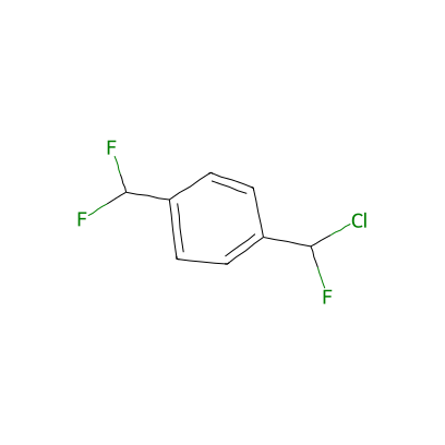 FC(F)c1ccc(C(F)Cl)cc1